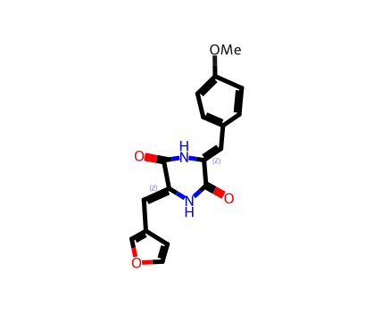 COc1ccc(/C=c2\[nH]c(=O)/c(=C/c3ccoc3)[nH]c2=O)cc1